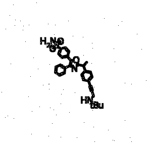 CC(c1ccc(C#CCNC(C)(C)C)cc1)c1nc(-c2ccccc2)c(-c2ccc(S(N)(=O)=O)cc2)o1